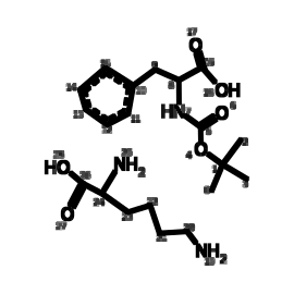 CC(C)(C)OC(=O)NC(Cc1ccccc1)C(=O)O.NCCCCC(N)C(=O)O